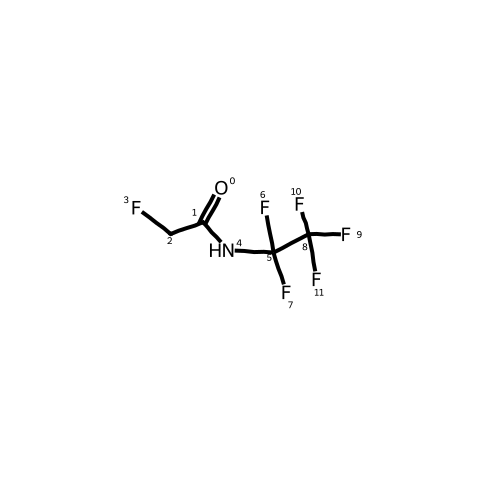 O=C(CF)NC(F)(F)C(F)(F)F